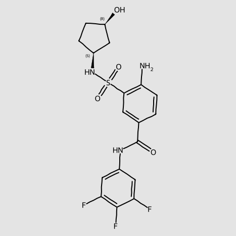 Nc1ccc(C(=O)Nc2cc(F)c(F)c(F)c2)cc1S(=O)(=O)N[C@H]1CC[C@@H](O)C1